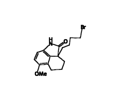 COc1ccc2c3c1CCCC3(CCCCBr)C(=O)N2